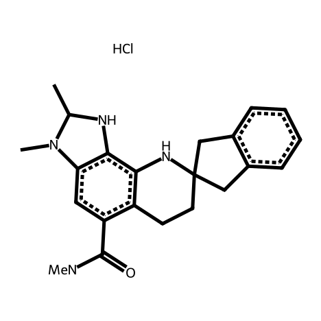 CNC(=O)c1cc2c(c3c1CCC1(Cc4ccccc4C1)N3)NC(C)N2C.Cl